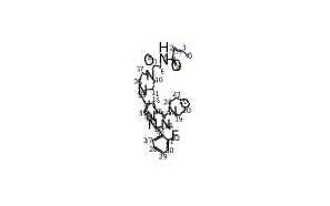 C/C=C\C(=O)NCC(=O)N1CCN(Cc2cc3c(N4CCOCC4)nc(-c4ccccc4F)nn3c2)CC1